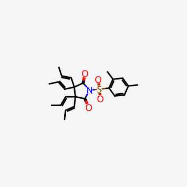 CC=CC1(C=CC)C(=O)N(S(=O)(=O)c2ccc(C)cc2C)C(=O)C1(C=CC)C=CC